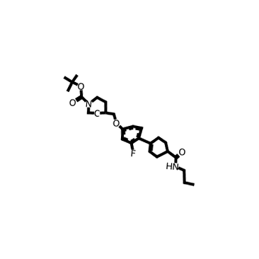 CCCNC(=O)C1CC=C(c2ccc(OCC3CCN(C(=O)OC(C)(C)C)CC3)cc2F)CC1